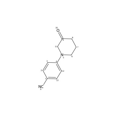 N#Cc1ccc(N2CCCC(=O)C2)cc1